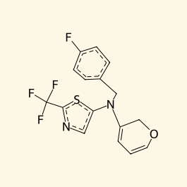 Fc1ccc(CN(C2=CC=COC2)c2cnc(C(F)(F)F)s2)cc1